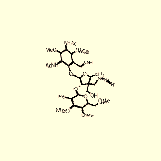 CCC1C(O[C@@H]2C(OC3C(CO)C(OC)C(NC(C)=O)C(OC)C3NC(C)=O)OC(C)C2(CO)CN=[N+]=[N-])OC(COC)C(OC)C1OC